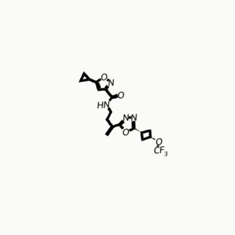 C=C(CCNC(=O)c1cc(C2CC2)on1)c1nnc([C@H]2C[C@@H](OC(F)(F)F)C2)o1